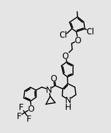 Cc1cc(Cl)c(OCCOc2ccc(C3=C(C(=O)N(Cc4cccc(OC(F)(F)F)c4)C4CC4)CNCC3)cc2)c(Cl)c1